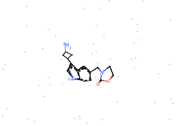 NC1CC(c2c[nH]c3ccc(CN4CCOC4=O)cc23)C1